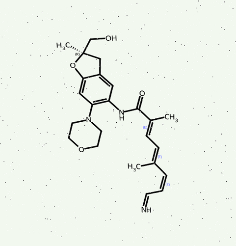 CC(/C=C\C=N)=C\C=C(/C)C(=O)Nc1cc2c(cc1N1CCOCC1)O[C@@](C)(CO)C2